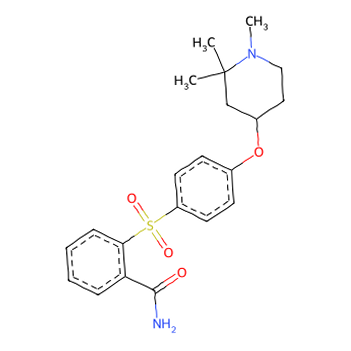 CN1CCC(Oc2ccc(S(=O)(=O)c3ccccc3C(N)=O)cc2)CC1(C)C